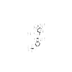 COc1c(C)cnc(CSc2nc3cc(OC(F)(F)C(F)F)ccc3[nH]2)c1C